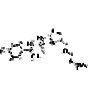 COCCOCc1csc(NC(=O)NC(C)c2ccc(Br)cc2)n1